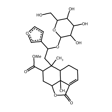 COC(=O)C1CC2OC(=O)C3=CCCC(C1(C)CC(OC1OC(CO)C(O)C(O)C1O)c1ccoc1)C32C